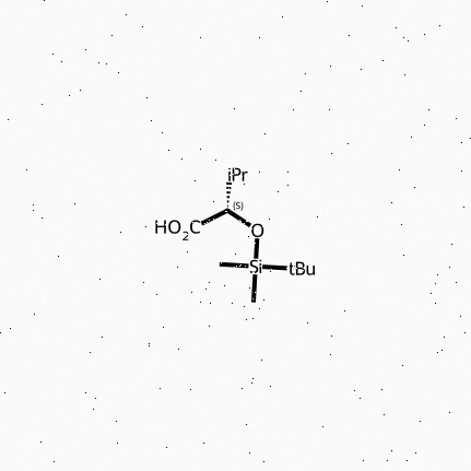 CC(C)[C@H](O[Si](C)(C)C(C)(C)C)C(=O)O